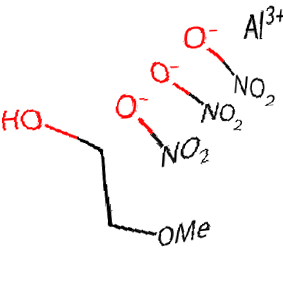 COCCO.O=[N+]([O-])[O-].O=[N+]([O-])[O-].O=[N+]([O-])[O-].[Al+3]